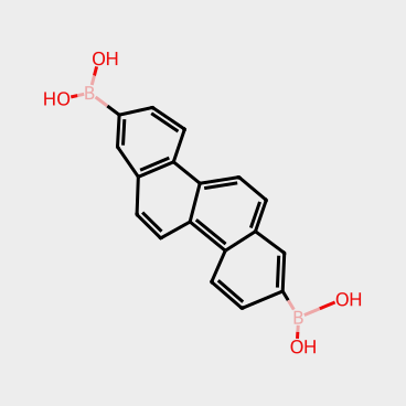 OB(O)c1ccc2c(ccc3c4ccc(B(O)O)cc4ccc23)c1